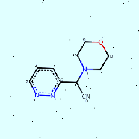 N#CC(c1cccnn1)N1CCOCC1